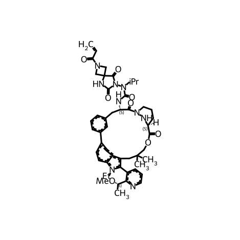 C=CC(=O)N1CC2(C1)NC(=O)N(N(C(=O)N[C@H]1Cc3cccc(c3)-c3ccc4c(c3)c(c(-c3cccnc3[C@H](C)OC)n4CC)CC(C)(C)COC(=O)[C@@H]3CCCN(N3)C1=O)C(C)C)C2=O